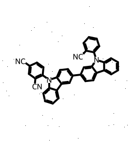 N#Cc1ccc(-n2c3ccccc3c3cc(-c4ccc5c6ccccc6n(-c6ccccc6C#N)c5c4)ccc32)c(C#N)c1